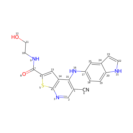 N#Cc1cnc2sc(C(=O)NCCO)cc2c1Nc1ccc2[nH]ccc2c1